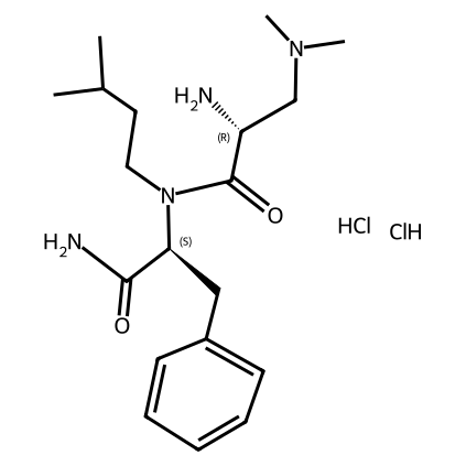 CC(C)CCN(C(=O)[C@H](N)CN(C)C)[C@@H](Cc1ccccc1)C(N)=O.Cl.Cl